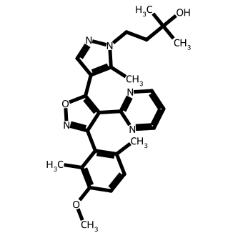 COc1ccc(C)c(-c2noc(-c3cnn(CCC(C)(C)O)c3C)c2C2=NC=C=C=N2)c1C